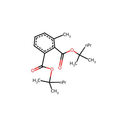 CCCC(C)(C)OC(=O)c1cccc(C)c1C(=O)OC(C)(C)CCC